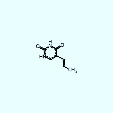 CC=Cc1c[nH]c(=O)[nH]c1=O